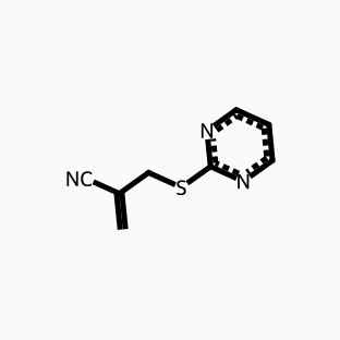 C=C(C#N)CSc1ncccn1